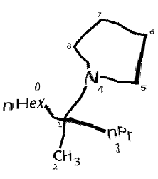 CCCCCCC(C)(CCC)N1CCCC1